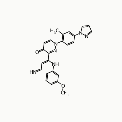 Cc1cc(-n2cccn2)ccc1-n1ccc(=O)c(/C(=C/C=N)Nc2cccc(OC(F)(F)F)c2)n1